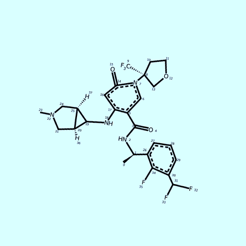 C[C@@H](NC(=O)c1cn([C@@]2(C(F)(F)F)CCOC2)c(=O)cc1NC1[C@H]2CN(C)C[C@@H]12)c1cccc(C(F)F)c1F